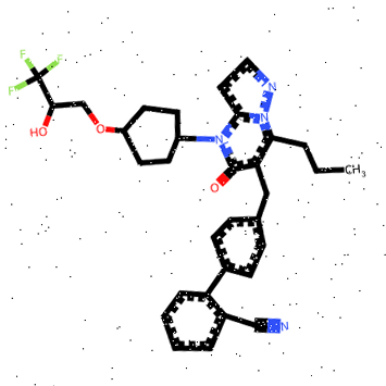 CCCc1c(Cc2ccc(-c3ccccc3C#N)cc2)c(=O)n(C2CCC(OCC(O)C(F)(F)F)CC2)c2ccnn12